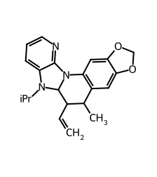 C=CC1C(C)c2cc3c(cc2N2c4ncccc4N(C(C)C)C12)OCO3